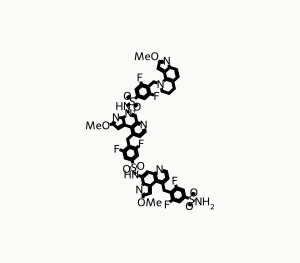 COC1=NC2C=CC3=C(C2=C1)N(Cc1c(F)cc(S(=O)(=O)N[N+]2=Cc4nccc(Cc5c(F)cc(S(=O)(=O)NC6=Cc7nccc(Cc8c(F)cc(S(N)(=O)=O)cc8F)c7C7=CC(OC)=NC67)cc5F)c4C4=CC(OC)=NC42)cc1F)CCC3